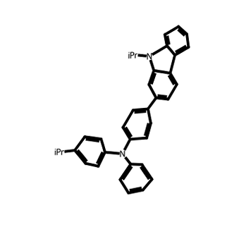 CC(C)c1ccc(N(c2ccccc2)c2ccc(-c3ccc4c5ccccc5n(C(C)C)c4c3)cc2)cc1